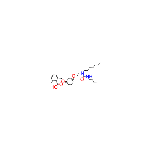 CCCCCCCN(CCO[C@H]1CCC[C@@H](OCc2cccc(C)c2C(=O)O)C1)C(=O)NCCCC